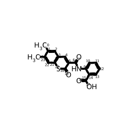 Cc1cc2cc(C(=O)Nc3ccccc3C(=O)O)c(=O)sc2cc1C